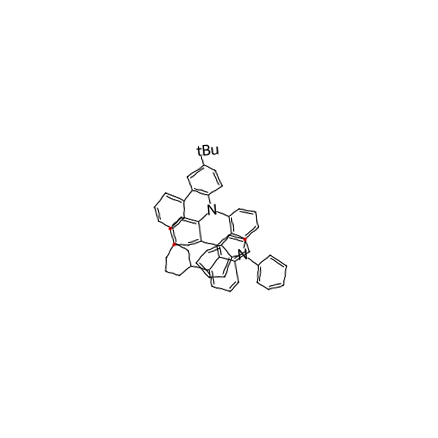 CC(C)(C)c1ccc(N(c2ccccc2-c2cccc3cccc(C4CCCCC4)c23)c2cccc3c2c2ccccc2n3-c2ccccc2)c(-c2ccccc2)c1